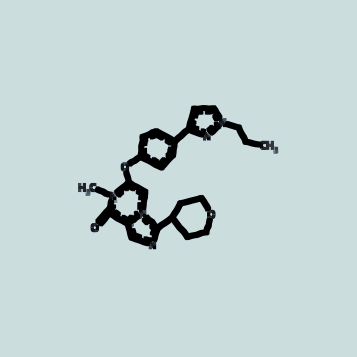 CCCn1ccc(-c2ccc(Oc3cn4c(C5CCOCC5)ncc4c(=O)n3C)cc2)n1